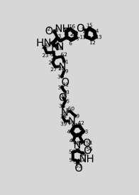 NC(=O)c1c(-c2ccc(Oc3ccccc3)cc2)nn2c1NCCC2C1CCN(CCOCCOCCN2CCN(c3ccc4c(c3)CN(C3CCC(=O)NC3=O)C4=O)CC2)CC1